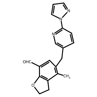 Cc1c(Cc2ccc(-n3cccn3)nc2)cc(C=O)c2c1CCO2